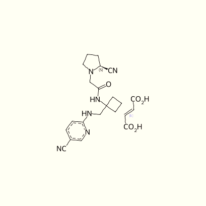 N#Cc1ccc(NCC2(NC(=O)CN3CCC[C@H]3C#N)CCC2)nc1.O=C(O)/C=C/C(=O)O